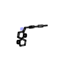 CC#CC#C/C=C1/C=CC2(CCCO2)O1